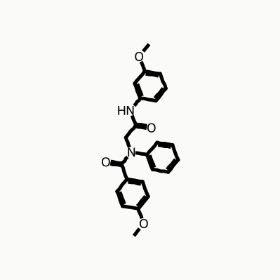 COc1ccc(C(=O)N(CC(=O)Nc2cccc(OC)c2)c2ccccc2)cc1